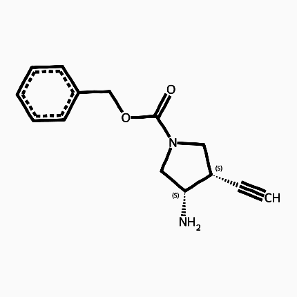 C#C[C@H]1CN(C(=O)OCc2ccccc2)C[C@H]1N